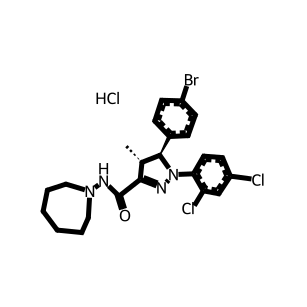 C[C@H]1C(C(=O)NN2CCCCCC2)=NN(c2ccc(Cl)cc2Cl)[C@@H]1c1ccc(Br)cc1.Cl